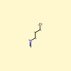 [CH]=NCCCCC